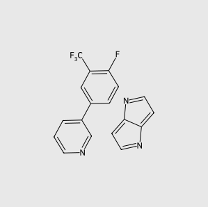 C1=NC2=CC=NC2=C1.Fc1ccc(-c2cccnc2)cc1C(F)(F)F